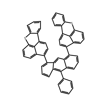 c1ccc(-c2c3cccc(-c4ccc5c6c(cccc46)Sc4ccccc4-5)c3cc3c(-c4ccc5c6c(cccc46)Sc4ccccc4-5)cccc23)cc1